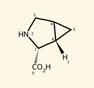 O=C(O)[C@@H]1NCC2C[C@@H]21